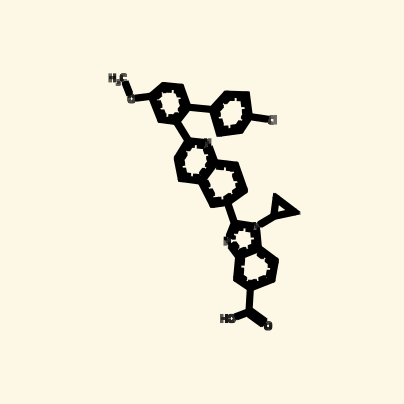 COc1ccc(-c2ccc(Cl)cc2)c(-c2ccc3cc(-c4nc5cc(C(=O)O)ccc5n4C4CC4)ccc3n2)c1